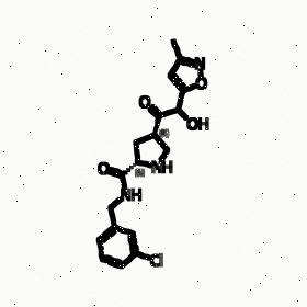 Cc1cc(C(O)C(=O)[C@H]2CN[C@H](C(=O)NCc3cccc(Cl)c3)C2)on1